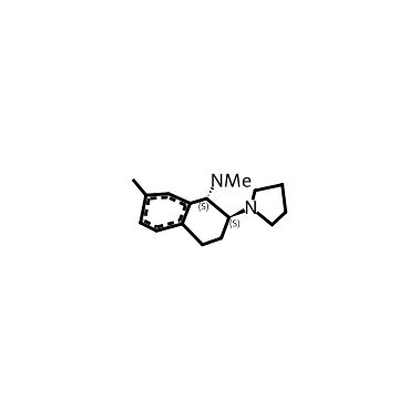 CN[C@H]1c2cc(C)ccc2CC[C@@H]1N1CCCC1